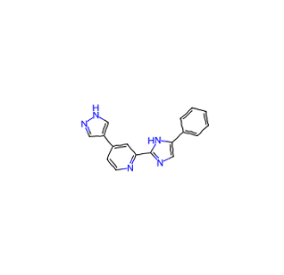 c1ccc(-c2cnc(-c3cc(-c4cn[nH]c4)ccn3)[nH]2)cc1